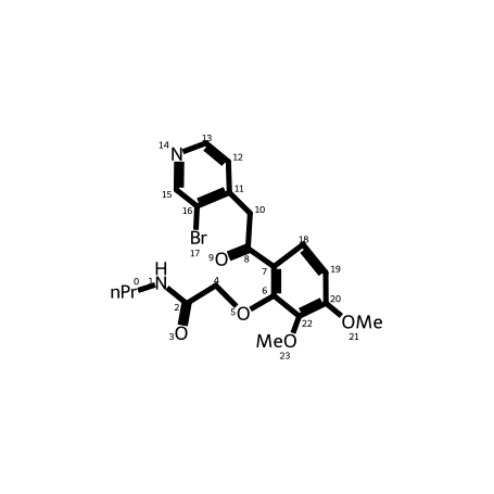 CCCNC(=O)COc1c(C(=O)Cc2ccncc2Br)ccc(OC)c1OC